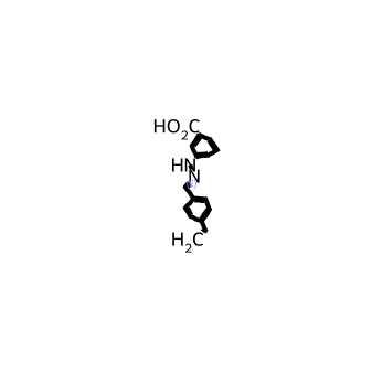 C=Cc1ccc(/C=N/Nc2cccc(C(=O)O)c2)cc1